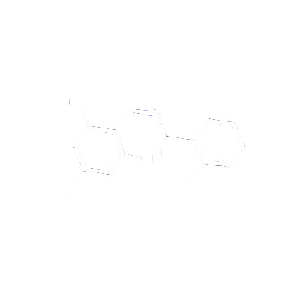 Cc1cc(C)c(/C=N\C(C)c2ccccc2Cl)c(C)c1